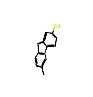 Cc1ccc2c(c1)-c1ccc(S)cc1C2